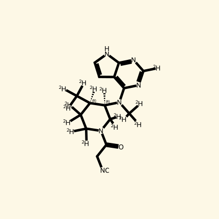 [2H]c1nc(N(C([2H])([2H])[2H])[C@@]2([2H])C([2H])([2H])N(C(=O)C[N+]#[C-])C([2H])([2H])C([2H])([2H])[C@@]2([2H])C([2H])([2H])[2H])c2cc[nH]c2n1